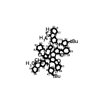 CC(C)(C)c1ccc(N(c2ccc3c(c2)-c2ccccc2C3(C)C)c2cc3c(c4oc5ccccc5c24)-c2c(cc(N(c4ccc(C(C)(C)C)cc4)c4ccc5c(c4)-c4ccccc4C5(C)C)c4c2oc2ccccc24)C32c3ccccc3N3c4ccccc4Oc4cccc2c43)cc1